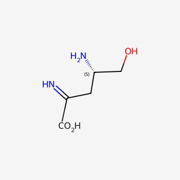 N=C(C[C@H](N)CO)C(=O)O